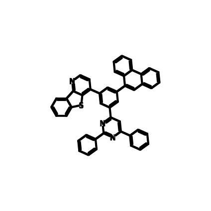 c1ccc(-c2cc(-c3cc(-c4cc5ccccc5c5ccccc45)cc(-c4ccnc5c4sc4ccccc45)c3)nc(-c3ccccc3)n2)cc1